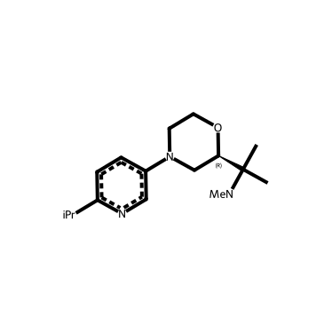 CNC(C)(C)[C@H]1CN(c2ccc(C(C)C)nc2)CCO1